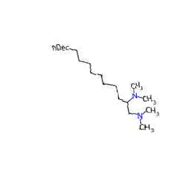 CCCCCCCCCCCCCCCCCCC(CN(C)C)N(C)C